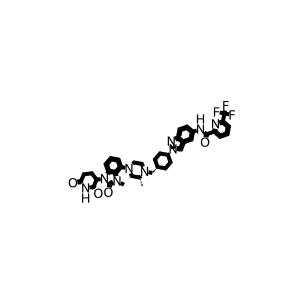 C[C@@H]1CN(c2cccc3c2n(C)c(=O)n3C2CCC(=O)NC2=O)CCN1C[C@H]1CC[C@H](n2cc3cc(NC(=O)c4cccc(C(F)(F)F)n4)ccc3n2)CC1